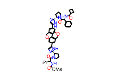 COC(=O)NC(C(=O)N1CCC[C@H]1c1ncc(-c2cc3c4c(c2)OCc2cc(-c5cnc([C@@H]6CCCN6C(=O)[C@H](NC(=O)C6CCC6)c6ccccc6)[nH]5)cc(c2-4)OC3)[nH]1)C(C)C